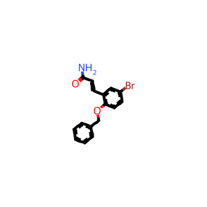 NC(=O)/C=C/c1cc(Br)ccc1OCc1ccccc1